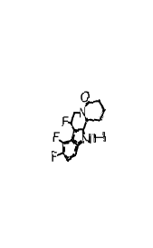 O=C1CCCC2c3[nH]c4ccc(F)c(F)c4c3C(F)CN12